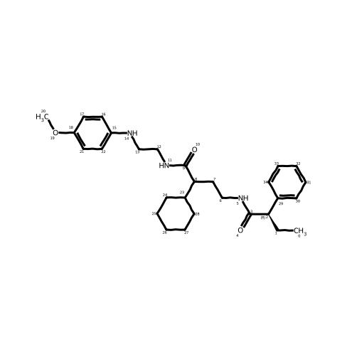 CC[C@@H](C(=O)NCCC(C(=O)NCCNc1ccc(OC)cc1)C1CCCCC1)c1ccccc1